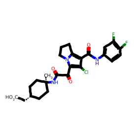 C[C@]1(NC(=O)C(=O)c2c(Cl)c(C(=O)Nc3ccc(F)c(F)c3)c3n2CCC3)CC[C@H](CC(=O)O)CC1